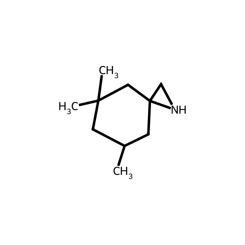 CC1CC(C)(C)CC2(CN2)C1